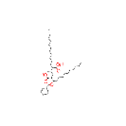 CCCCCCCCCCCCC(C(=O)O)C(C)CC(C(=O)O)C(CCCCCCCCCCC)OCc1ccccc1